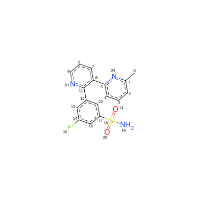 Cc1cccc(-c2cccnc2-c2cc(F)cc(S(N)(=O)=O)c2)n1